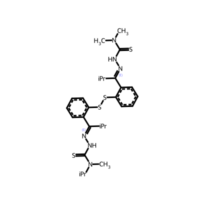 CC(C)/C(=N\NC(=S)N(C)C)c1ccccc1SSc1ccccc1/C(=N/NC(=S)N(C)C(C)C)C(C)C